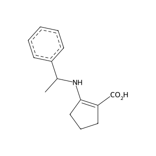 CC(NC1=C(C(=O)O)CCC1)c1ccccc1